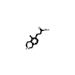 COC(=O)CCc1ccc2c(c1C)CCNC2